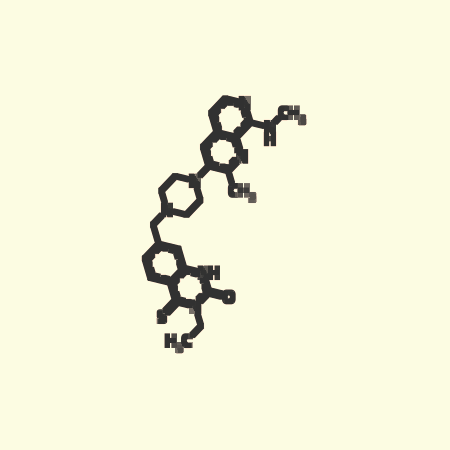 CCn1c(=O)[nH]c2cc(CN3CCN(c4cc5ccnc(NC)c5nc4C)CC3)ccc2c1=S